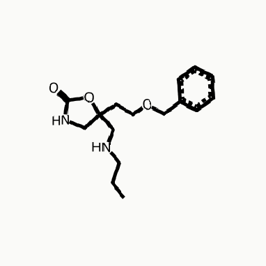 CCCNCC1(CCOCc2ccccc2)CNC(=O)O1